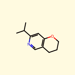 CC(C)c1cc2c(cn1)CCCO2